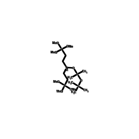 CO[Si](CC[SiH](CC[Si](OC)(OC)OC)O[Si](C)(C)O[Si](C)(C)C)(OC)OC